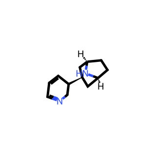 C1=CC([C@H]2C[C@H]3CC[C@@H](C2)N3)CN=C1